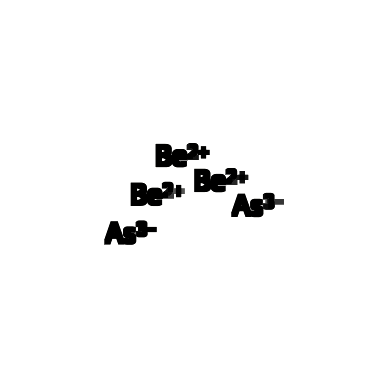 [As-3].[As-3].[Be+2].[Be+2].[Be+2]